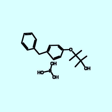 CC(C)(O)C(C)(C)Oc1ccc(Cc2ccccc2)cc1.OB(O)O